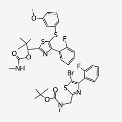 CN(Cc1nc(-c2ccccc2F)c(Br)s1)C(=O)OC(C)(C)C.CNC(=O)OC(c1nc(-c2ccccc2F)c(Sc2cccc(OC)c2)s1)C(C)(C)C